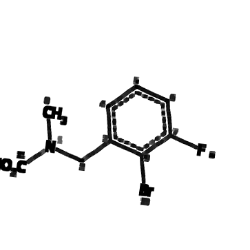 CN(Cc1cccc(F)c1Br)C(=O)O